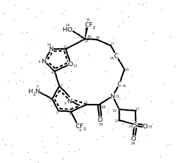 Nc1cc(C(F)(F)F)c2nc1-c1nnc(o1)[C@@](O)(C(F)(F)F)CCCCCN(C1CS(=O)(=O)C1)C2=O